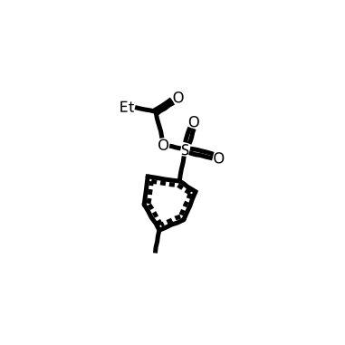 CCC(=O)OS(=O)(=O)c1ccc(C)cc1